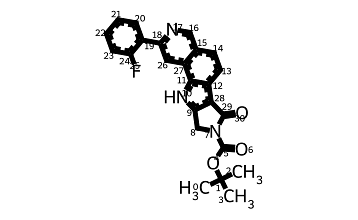 CC(C)(C)OC(=O)N1Cc2[nH]c3c(ccc4cnc(-c5ccccc5F)cc43)c2C1=O